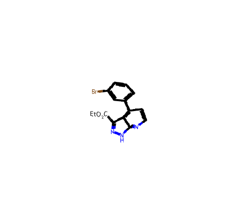 CCOC(=O)c1n[nH]c2nccc(-c3cccc(Br)c3)c12